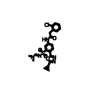 CN(C)/C=N/S(=O)(=O)c1cc(NC(=O)Cc2ccccc2Cl)ccc1-c1nnc(C2CC2)o1